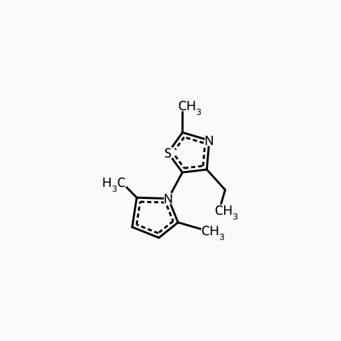 CCc1nc(C)sc1-n1c(C)ccc1C